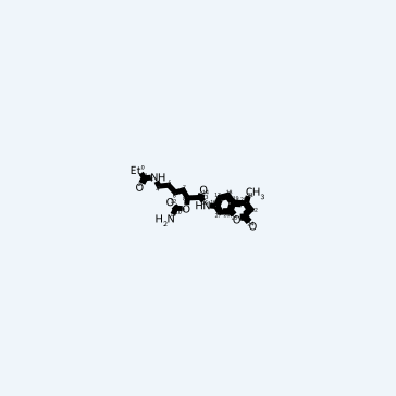 CCC(=O)NCCCCC(OC(N)=O)C(=O)Nc1ccc2c(C)cc(=O)oc2c1